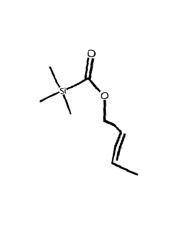 CC=CCOC(=O)[Si](C)(C)C